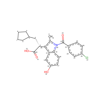 Cc1c([C@@H](CC2CCCC2)C(=O)O)c2cc(O)ccc2n1C(=O)c1ccc(Cl)cc1